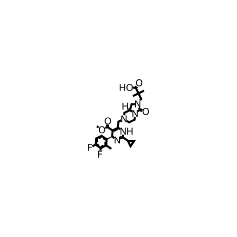 COC(=O)C1=C(CN2CCN3C(=O)N(CC(C)(C)C(=O)O)C[C@@H]3C2)NC(C2CC2)=N[C@H]1c1ccc(F)c(F)c1C